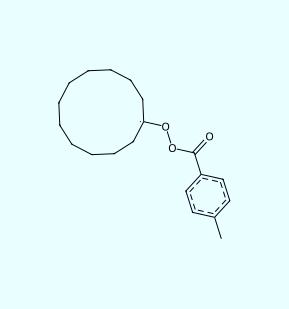 Cc1ccc(C(=O)OO[C]2CCCCCCCCCCC2)cc1